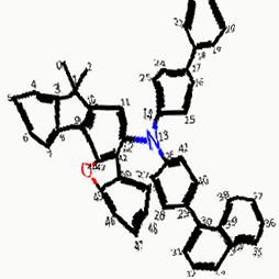 CC1(C)c2ccccc2-c2c1cc(N(c1ccc(-c3ccccc3)cc1)c1ccc(-c3cccc4ccccc34)cc1)c1c2oc2ccccc21